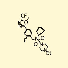 CCN1CCN(S(=O)(=O)N(Cc2ccc(-c3nnc(C(F)(F)F)o3)cc2F)c2ccccc2)CC1